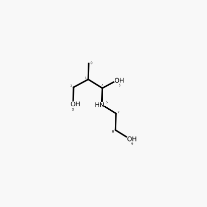 CC(CO)C(O)NCCO